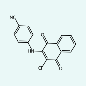 N#Cc1ccc(NC2=C(Cl)C(=O)c3ccccc3C2=O)cc1